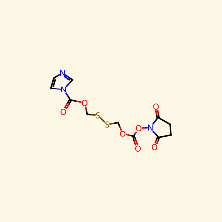 O=C(OCSSCOC(=O)n1ccnc1)ON1C(=O)CCC1=O